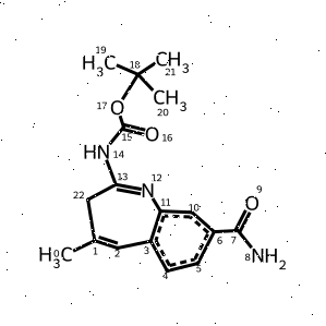 CC1=Cc2ccc(C(N)=O)cc2N=C(NC(=O)OC(C)(C)C)C1